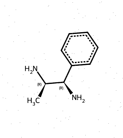 C[C@@H](N)[C@H](N)c1ccccc1